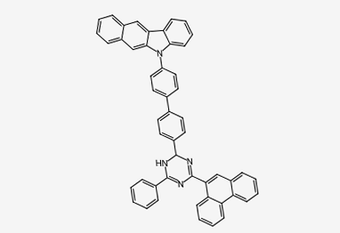 c1ccc(C2=NC(c3cc4ccccc4c4ccccc34)=NC(c3ccc(-c4ccc(-n5c6ccccc6c6cc7ccccc7cc65)cc4)cc3)N2)cc1